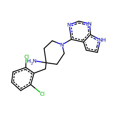 NC1(Cc2c(Cl)cccc2Cl)CCN(c2ncnc3[nH]ccc23)CC1